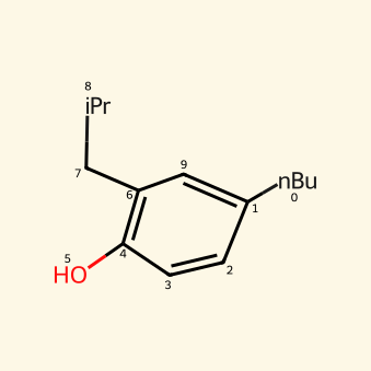 CCCCc1ccc(O)c(CC(C)C)c1